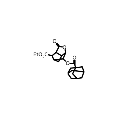 CCOC(=O)C1C2CC3C(OC(=O)C31)C2OC(=O)C12CC3CC(CC(C3)C1)C2